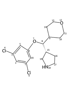 Clc1cc(Cl)cc(OC(C2CCOCC2)[C@@H]2CCNC2)c1